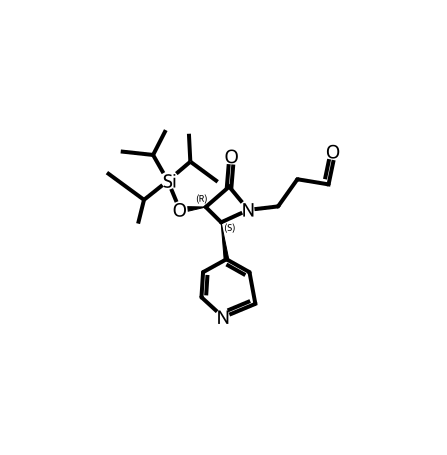 CC(C)[Si](O[C@H]1C(=O)N(CCC=O)[C@H]1c1ccncc1)(C(C)C)C(C)C